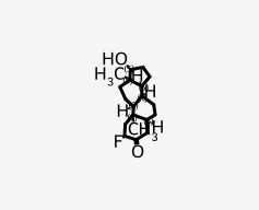 C[C@]12CC(F)C(=O)C[C@@H]1CC[C@@H]1[C@@H]2CC[C@]2(C)[C@@H](O)CC[C@@H]12